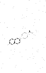 Cc1ccc2cc(N3CCN(C(=O)CO)CC3)ccc2c1